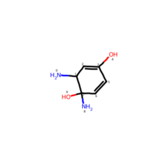 NC1C=C(O)C=CC1(N)O